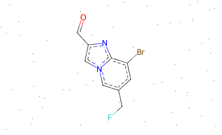 O=Cc1cn2cc(CF)cc(Br)c2n1